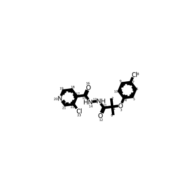 CC(C)(Oc1ccc(Cl)cc1)C(=O)NNC(=O)c1ccncc1Cl